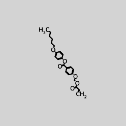 C=CC(=O)OCOc1ccc(C(=O)Oc2ccc(OCCCCCC)cc2)cc1